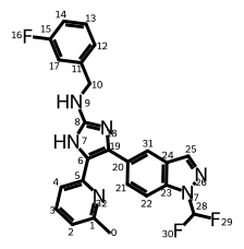 Cc1cccc(-c2[nH]c(NCc3cccc(F)c3)nc2-c2ccc3c(cnn3C(F)F)c2)n1